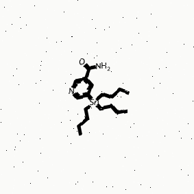 CCC[CH2][Sn]([CH2]CCC)([CH2]CCC)[c]1cncc(C(N)=O)c1